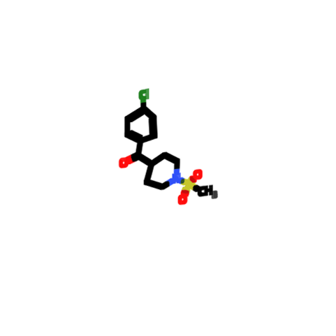 CS(=O)(=O)N1CCC(C(=O)c2ccc(Cl)cc2)CC1